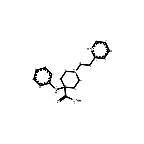 COC(=O)C1(Nc2ccccc2)CCN(CCc2ccccn2)CC1